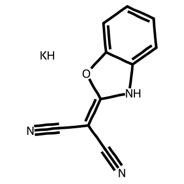 N#CC(C#N)=C1Nc2ccccc2O1.[KH]